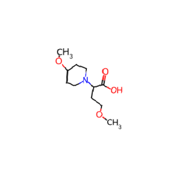 COCCC(C(=O)O)N1CCC(OC)CC1